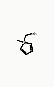 CCCCC[N+]1(C)C=CC=C1